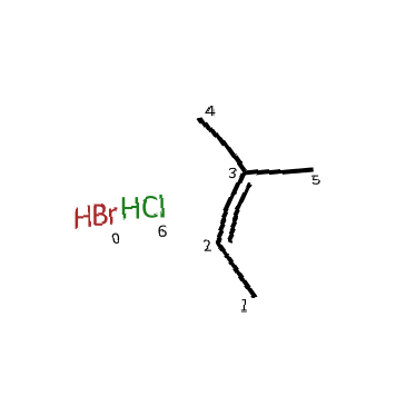 Br.CC=C(C)C.Cl